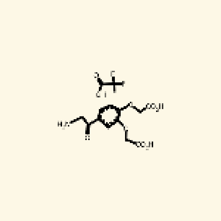 NCC(=O)c1ccc(OCC(=O)O)c(OCC(=O)O)c1.O=C(O)C(F)(F)F